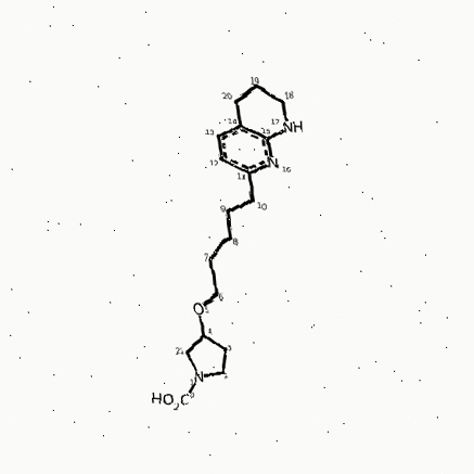 O=C(O)N1CCC(OCCCCCc2ccc3c(n2)NCCC3)C1